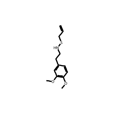 C=CCSNCCc1ccc(OC)c(OC)c1